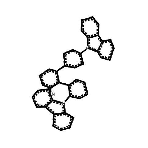 N#Cc1cccc(-c2ccc(-n3c4ccccc4c4ccccc43)cc2)c1-c1ccccc1-n1c2ccccc2c2ccccc21